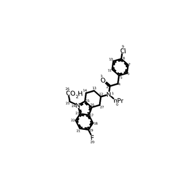 CCCN(C(=O)Cc1ccc(Cl)cc1)C1CCc2c(c3cc(F)ccc3n2CC(=O)O)C1